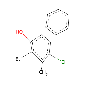 CCc1c(O)ccc(Cl)c1C.c1ccccc1